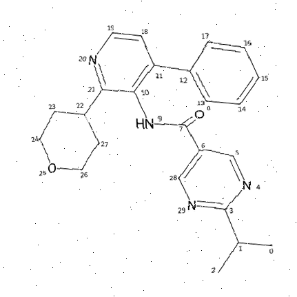 CC(C)c1ncc(C(=O)Nc2c(-c3ccccc3)ccnc2C2CCOCC2)cn1